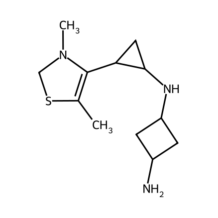 CC1=C(C2CC2NC2CC(N)C2)N(C)CS1